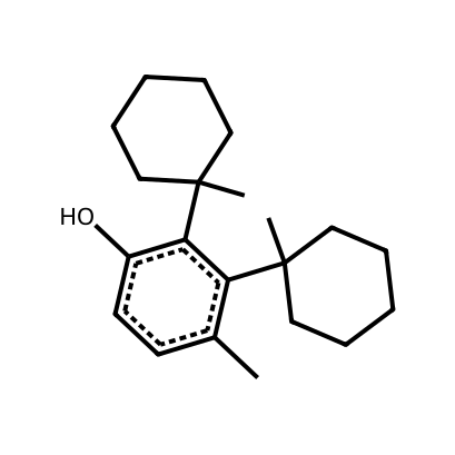 Cc1ccc(O)c(C2(C)CCCCC2)c1C1(C)CCCCC1